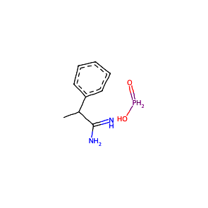 CC(C(=N)N)c1ccccc1.O=[PH2]O